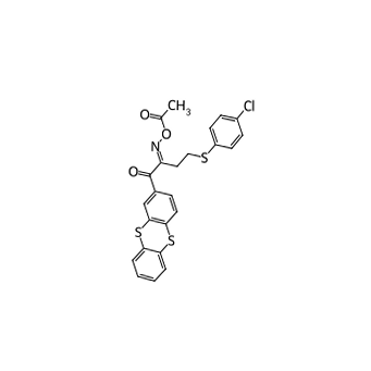 CC(=O)O/N=C(\CCSc1ccc(Cl)cc1)C(=O)c1ccc2c(c1)Sc1ccccc1S2